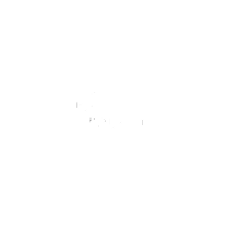 S.S.S.S.S.[Li]